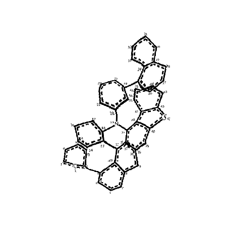 c1ccc(-c2cccc3cccc(-c4ccccc4N(c4cccc(-c5cccc6ccccc56)c4)c4cccc5sc6ccccc6c45)c23)cc1